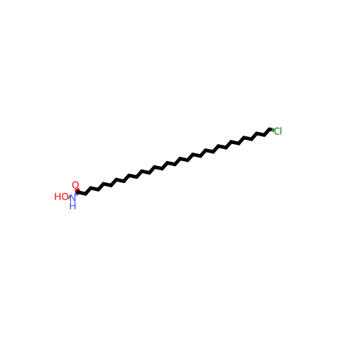 O=C(CCCCCCCCCCCCCCCCCCCCCCCCCCCCCCCl)NO